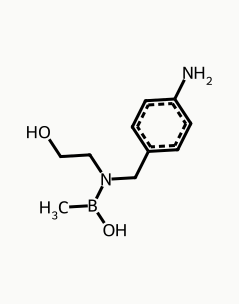 CB(O)N(CCO)Cc1ccc(N)cc1